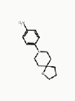 Nc1ccc(N2CCC3(CCCO3)CC2)cc1